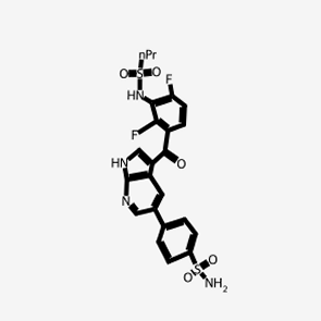 CCCS(=O)(=O)Nc1c(F)ccc(C(=O)c2c[nH]c3ncc(-c4ccc(S(N)(=O)=O)cc4)cc23)c1F